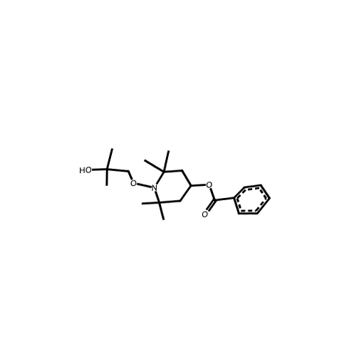 CC(C)(O)CON1C(C)(C)CC(OC(=O)c2ccccc2)CC1(C)C